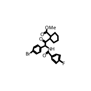 COC(=O)C1CCCCC1C(=O)C(NC(=O)c1ccc(F)cc1)c1ccc(Br)cc1